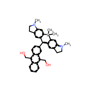 CN1CCc2cc3c(cc21)[Si](C)(C)c1cc2c(cc1=C3c1ccc3c(CO)c4ccccc4c(CO)c3c1)CC[N+]=2C